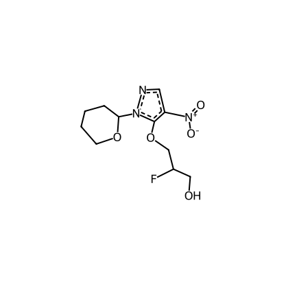 O=[N+]([O-])c1cnn(C2CCCCO2)c1OCC(F)CO